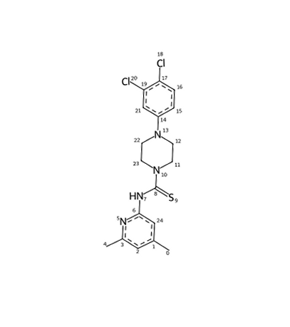 Cc1cc(C)nc(NC(=S)N2CCN(c3ccc(Cl)c(Cl)c3)CC2)c1